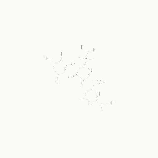 COc1nc(C(C)O)nc(C)c1Cn1cnc(C(F)(F)C(F)F)c(Oc2cc(Cl)cc(C#N)c2F)c1=O